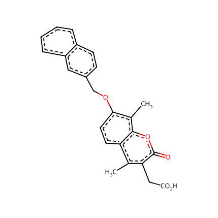 Cc1c(CC(=O)O)c(=O)oc2c(C)c(OCc3ccc4ccccc4c3)ccc12